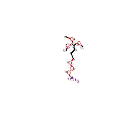 CO[Si](CCCOOOP)(OC)OC